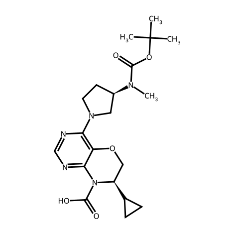 CN(C(=O)OC(C)(C)C)[C@@H]1CCN(c2ncnc3c2OC[C@@H](C2CC2)N3C(=O)O)C1